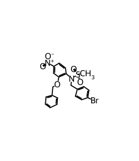 CS(=O)(=O)N(Cc1ccc(Br)cc1)c1ccc([N+](=O)[O-])cc1OCc1ccccc1